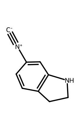 [C-]#[N+]c1ccc2c(c1)NCC2